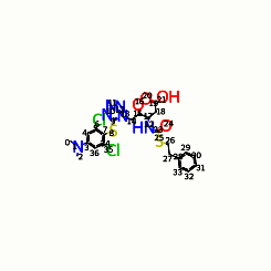 CN(C)c1cc(Cl)c(Sc2nnnn2CC(=O)C(CC(=O)O)NC(=O)SCCc2ccccc2)c(Cl)c1